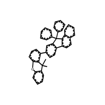 CC1(C)c2ccccc2Oc2cccc(-c3ccc4c(c3)C(c3ccccc3)(c3ccccc3)c3c-4ccc4ccccc34)c21